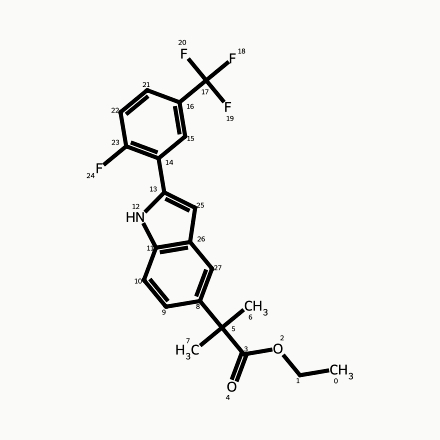 CCOC(=O)C(C)(C)c1ccc2[nH]c(-c3cc(C(F)(F)F)ccc3F)cc2c1